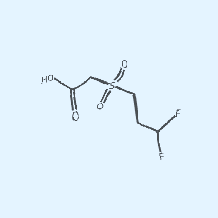 O=C(O)CS(=O)(=O)CCC(F)F